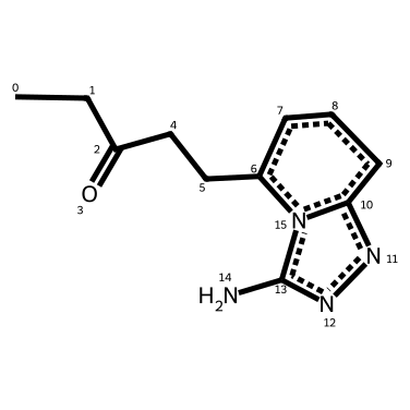 CCC(=O)CCc1cccc2nnc(N)n12